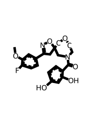 COc1cc(C2=NOC3(COCCN(C(=O)c4ccc(O)cc4O)C3)C2)ccc1F